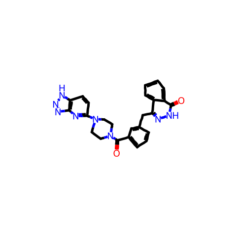 O=C(c1cccc(Cc2n[nH]c(=O)c3ccccc23)c1)N1CCN(c2ccc3[nH]nnc3n2)CC1